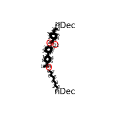 CCCCCCCCCCCCCCCCCCOC(C)c1ccc(-c2ccc(OC(=O)c3ccc(CCCCCCCCCCCC)cc3)cc2)cc1